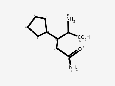 NC(=O)CC(C1CCCC1)C(N)C(=O)O